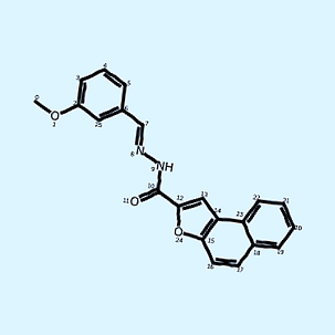 COc1cccc(C=NNC(=O)c2cc3c(ccc4ccccc43)o2)c1